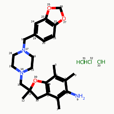 Cc1c(C)c2c(c(C)c1N)CC(C)(CN1CCN(Cc3ccc4c(c3)OCO4)CC1)O2.Cl.Cl.Cl